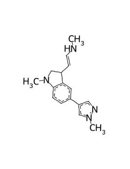 CN/C=C/C1CN(C)c2ccc(-c3cnn(C)c3)cc21